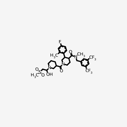 Cc1cc(F)ccc1C1CN(C(=O)C2CCCN(C(O)CS(C)(=O)=O)C2)CCC1C(=O)N(C)Cc1cc(C(F)(F)F)cc(C(F)(F)F)c1